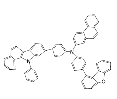 c1ccc(-n2c3cc(-c4ccc(N(c5ccc(-c6cccc7oc8ccccc8c67)cc5)c5ccc6c(ccc7ccccc76)c5)cc4)ccc3c3ccc4ccccc4c32)cc1